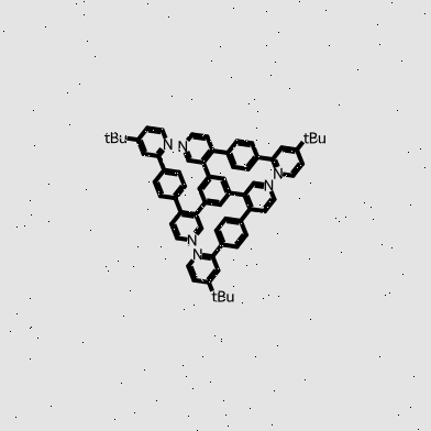 CC(C)(C)c1ccnc(-c2ccc(-c3ccncc3-c3cc(-c4cnccc4-c4ccc(-c5cc(C(C)(C)C)ccn5)cc4)cc(-c4cnccc4-c4ccc(-c5cc(C(C)(C)C)ccn5)cc4)c3)cc2)c1